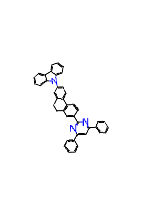 c1ccc(-c2cc(-c3ccccc3)nc(-c3ccc4c(c3)CCc3cc(-n5c6ccccc6c6ccccc65)ccc3-4)n2)cc1